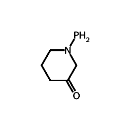 O=C1CCCN(P)C1